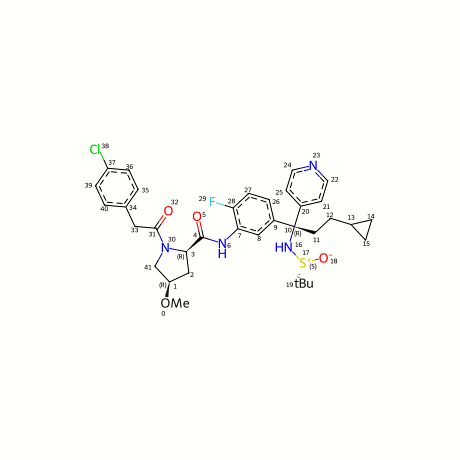 CO[C@@H]1C[C@H](C(=O)Nc2cc([C@@](CCC3CC3)(N[S@+]([O-])C(C)(C)C)c3ccncc3)ccc2F)N(C(=O)Cc2ccc(Cl)cc2)C1